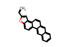 C=Cc1cc2c(ccc3c4cc5ccccc5cc4ccc23)o1